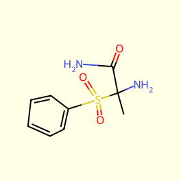 CC(N)(C(N)=O)S(=O)(=O)c1ccccc1